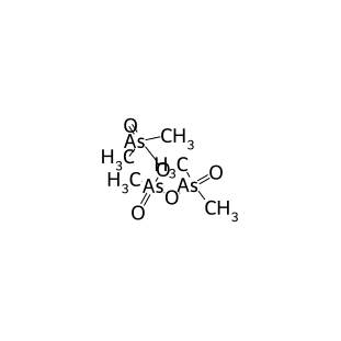 C[As](C)(=O)O[As](C)(=O)O[As](C)(C)=O